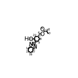 C=C(C)C(=O)OCc1ccc(-n2nc3ccccc3n2)c(O)c1